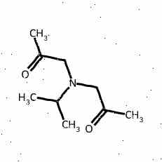 CC(=O)CN(CC(C)=O)C(C)C